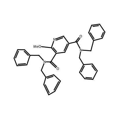 COc1ncc(C(=O)N(Cc2ccccc2)Cc2ccccc2)cc1C(=O)N(Cc1ccccc1)Cc1ccccc1